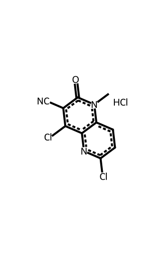 Cl.Cn1c(=O)c(C#N)c(Cl)c2nc(Cl)ccc21